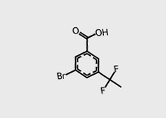 CC(F)(F)c1cc(Br)cc(C(=O)O)c1